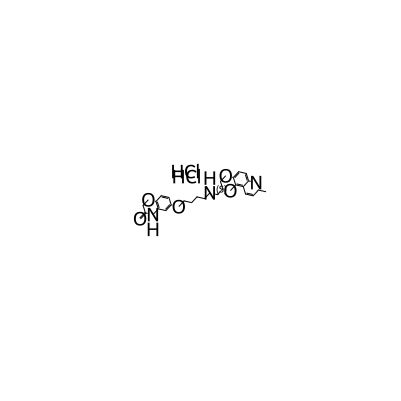 Cc1ccc2c3c(ccc2n1)OC[C@H](CNCCCCOc1ccc2c(c1)NC(=O)CO2)O3.Cl.Cl